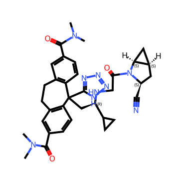 CN(C)C(=O)c1ccc2c(c1)CCc1cc(C(=O)N(C)C)ccc1C2(C[C@@H](NCC(=O)N1[C@H](C#N)C[C@@H]2C[C@@H]21)C1CC1)c1nnn[nH]1